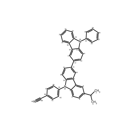 CC(C)c1ccc2c(c1)c1cc(-c3ccc4c(c3)c3ccccc3n4-c3ccccc3)ccc1n2-c1ccc(C#N)cc1